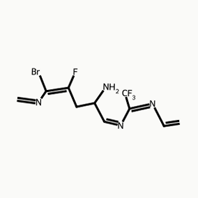 C=C/N=C(\N=C/C(N)C/C(F)=C(/Br)N=C)C(F)(F)F